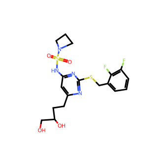 O=S(=O)(Nc1cc(CCC(O)CO)nc(SCc2cccc(F)c2F)n1)N1CCC1